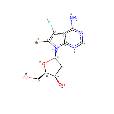 Nc1ncnc2c1c(F)c(Br)n2[C@H]1C[C@@H](O)[C@@H](CO)O1